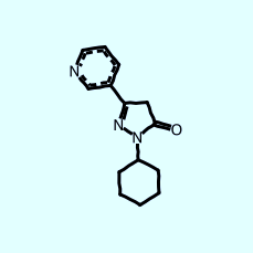 O=C1CC(c2cccnc2)=NN1C1CCCCC1